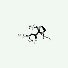 CN(C)CC(=O)c1n(C)cc[n+]1C